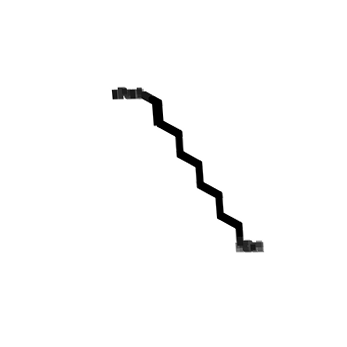 [CH2]CCCCC=CCCCCCCCCCCCCCCC